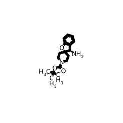 CC(C)(C)OC(=O)N1CCC2(CC1)Oc1ccccc1[C@H]2N